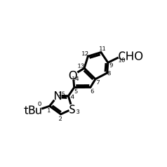 CC(C)(C)c1csc(-c2cc3cc(C=O)ccc3o2)n1